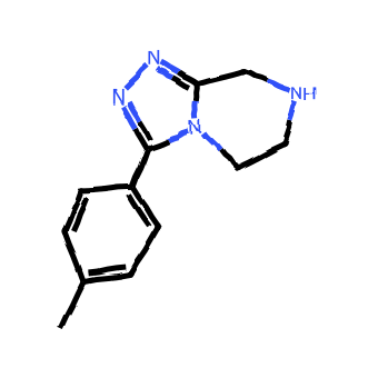 Cc1ccc(-c2nnc3n2CCNC3)cc1